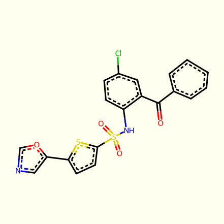 O=C(c1ccccc1)c1cc(Cl)ccc1NS(=O)(=O)c1ccc(-c2cnco2)s1